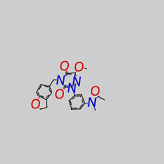 COc1nn(-c2cccc(N(C)C(C)=O)c2)c(=O)n(Cc2ccc3c(c2)CCO3)c1=O